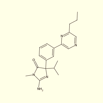 CCCc1cncc(-c2cccc(C3(C(C)C)N=C(N)N(C)C3=O)c2)n1